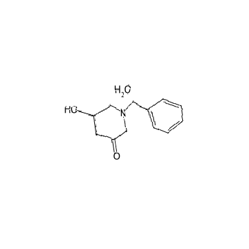 O.O=C1CC(O)CN(Cc2ccccc2)C1